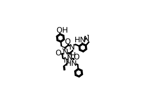 C=CCN1CC(=O)N2[C@@H](Cc3ccc(O)cc3)C(=O)N(Cc3cccc4c3NN(C)C4)C[C@@H]2N1C(=O)NCc1ccccc1